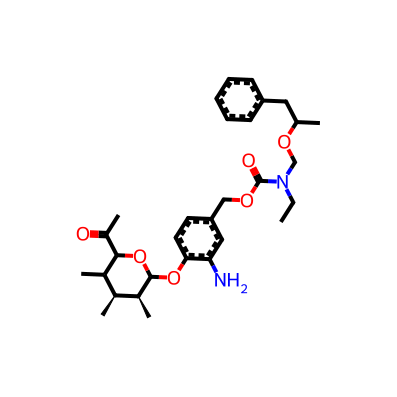 CCN(COC(C)Cc1ccccc1)C(=O)OCc1ccc(OC2OC(C(C)=O)C(C)[C@H](C)[C@@H]2C)c(N)c1